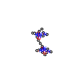 c1ccc(-c2cccc(-c3nc(-c4c(-n5c6ccccc6c6cc7ccccc7cc65)ccc5c4oc4cc(-c6ccc(-c7ccc(-c8nc(-c9c(-n%10c%11ccccc%11c%11cc%12ccccc%12cc%11%10)ccc%10c9oc9ccccc9%10)nc(-c9cccc%10c9c9ccccc9n%10-c9ccccc9)n8)cc7)cc6)ccc45)nc(-c4cccc5c4c4ccccc4n5-c4ccccc4)n3)c2)cc1